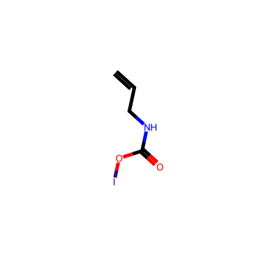 C=CCNC(=O)OI